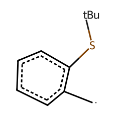 [CH2]c1ccccc1SC(C)(C)C